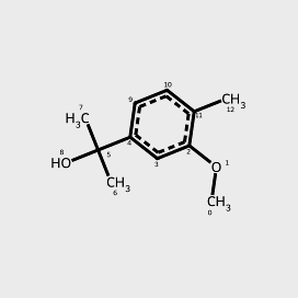 COc1cc(C(C)(C)O)ccc1C